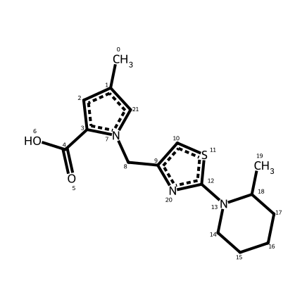 Cc1cc(C(=O)O)n(Cc2csc(N3CCCCC3C)n2)c1